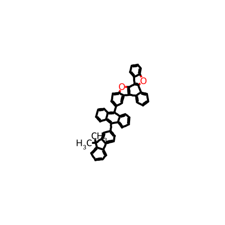 CC1(C)c2ccccc2-c2ccc(-c3c4ccccc4c(-c4ccc5oc6c(c5c4)c4ccccc4c4oc5ccccc5c46)c4ccccc34)cc21